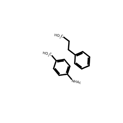 CC(=O)Nc1ccc(C(=O)O)cc1.O=C(O)CCc1ccccc1